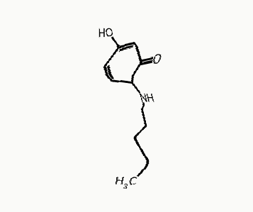 CCCCCNC1C=CC(O)=CC1=O